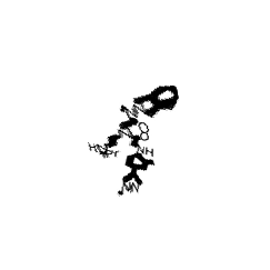 Cc1cc(-c2cnn(C)c2)ccc1NCC(=O)N(CCNC(C)C)CC(=O)N(C)N1Cc2ccccc2C1